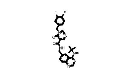 CN(c1ncnc2ccc(CNC(=O)c3cncn(Cc4ccc(F)c(F)c4)c3=O)cc12)C(C)(C)C